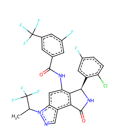 CC(n1ncc2c3c(c(NC(=O)c4cc(F)cc(C(F)(F)F)c4)cc21)[C@@H](c1cc(F)ccc1Cl)NC3=O)C(F)(F)F